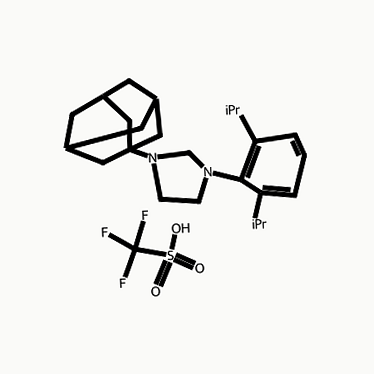 CC(C)c1cccc(C(C)C)c1N1CCN(C23CC4CC(CC(C4)C2)C3)C1.O=S(=O)(O)C(F)(F)F